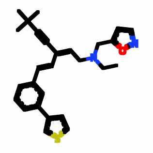 CCN(C/C=C(C#CC(C)(C)C)\C=C\c1cccc(-c2ccsc2)c1)Cc1ccno1